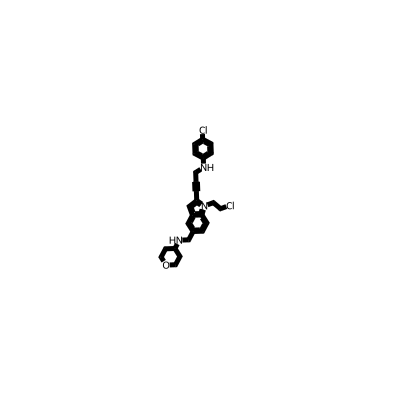 ClCCn1c(C#CCNc2ccc(Cl)cc2)cc2cc(CNC3CCOCC3)ccc21